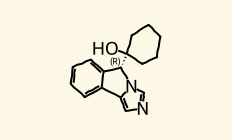 OC1([C@H]2c3ccccc3-c3cncn32)CCCCC1